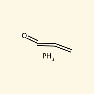 C=C=C=O.P